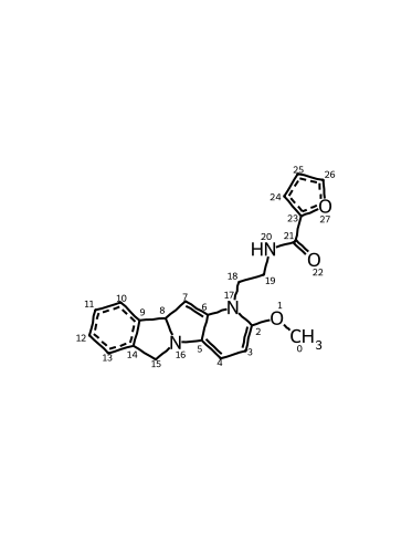 COC1=CC=C2C(=CC3c4ccccc4CN23)N1CCNC(=O)c1ccco1